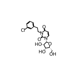 O=c1ccn([C@@H]2O[C@H](CO)[C@H](O)[C@@H]2O)c(=O)n1CCc1cccc(Cl)c1